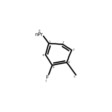 CCCc1ccc(C)c(F)c1